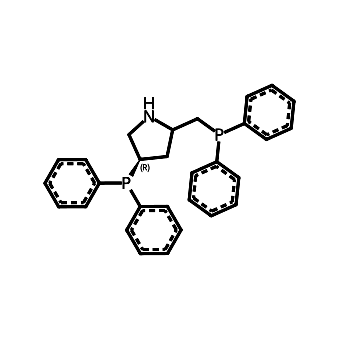 c1ccc(P(CC2C[C@@H](P(c3ccccc3)c3ccccc3)CN2)c2ccccc2)cc1